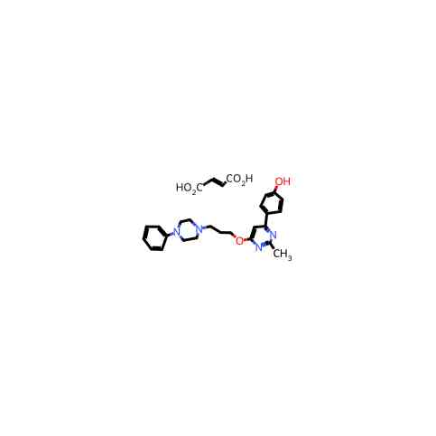 Cc1nc(OCCCN2CCN(c3ccccc3)CC2)cc(-c2ccc(O)cc2)n1.O=C(O)C=CC(=O)O